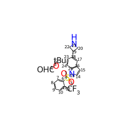 CC(C)(C)OC=O.O=S(=O)(c1ccccc1C(F)(F)F)n1ccc2cc(C3CNC3)ccc21